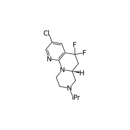 CC(C)N1CCN2c3ncc(Cl)cc3C(F)(F)C[C@@H]2C1